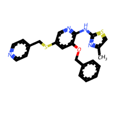 Cc1csc(Nc2ncc(SCc3ccncc3)cc2OCc2ccccc2)n1